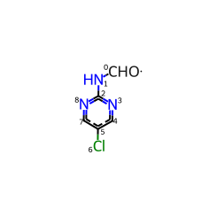 O=[C]Nc1ncc(Cl)cn1